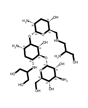 NC(CO)CNC[C@H]1O[C@H](OC2[C@@H](N)C[C@@H](NC(CO)CO)[C@H](O[C@H]3O[C@H](CO)[C@@H](O)[C@H](N)[C@H]3O)[C@H]2O)[C@H](N)C[C@@H]1O